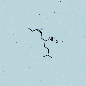 CC/C=C\CC(N)CCC(C)C